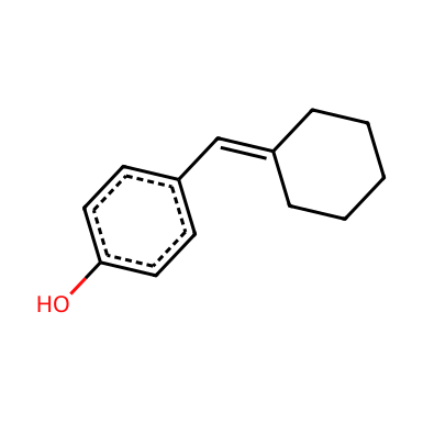 Oc1ccc(C=C2CCCCC2)cc1